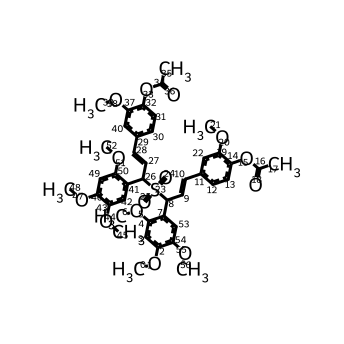 COc1cc(OC)c(C(C=Cc2ccc(OC(C)=O)c(OC)c2)S(=O)(=O)C(C=Cc2ccc(OC(C)=O)c(OC)c2)c2cc(OC)c(OC)cc2OC)cc1OC